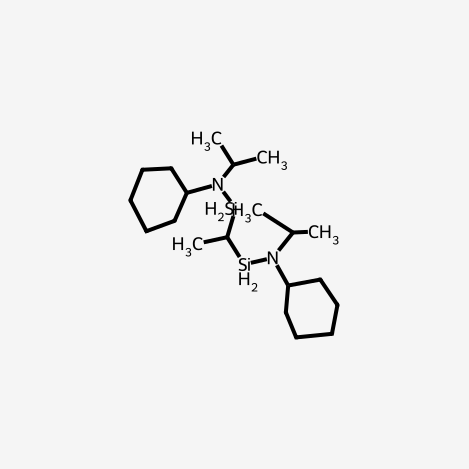 CC([SiH2]N(C(C)C)C1CCCCC1)[SiH2]N(C(C)C)C1CCCCC1